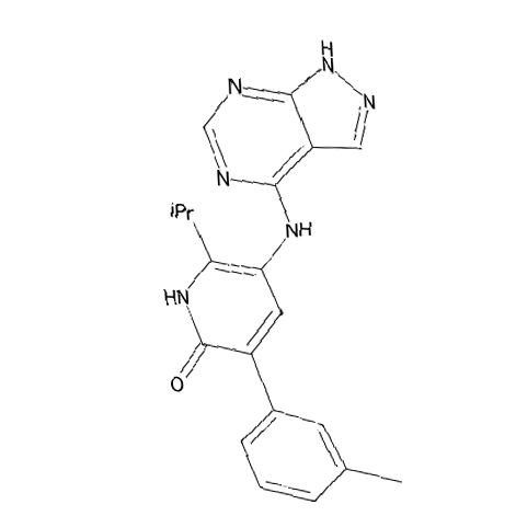 Cc1cccc(-c2cc(Nc3ncnc4[nH]ncc34)c(C(C)C)[nH]c2=O)c1